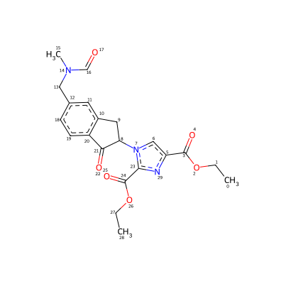 CCOC(=O)c1cn(C2Cc3cc(CN(C)C=O)ccc3C2=O)c(C(=O)OCC)n1